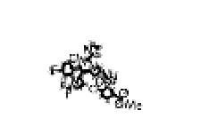 COC(=O)c1ccc(Cl)c(S(=O)(=O)N[C@H]2CC3=C(c4ccn(C(F)F)n4)[C@H](c4ccc(F)cc4Cl)N=C(c4nccs4)N3C2)c1